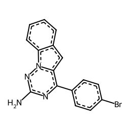 Nc1nc(-c2ccc(Br)cc2)c2cc3ccccc3n2n1